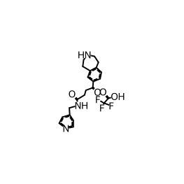 O=C(CCC(=O)c1ccc2c(c1)CCNCC2)NCc1ccncc1.O=C(O)C(F)(F)F